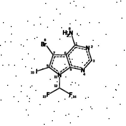 Nc1ncnc2c1c(Br)c(I)n2C(F)F